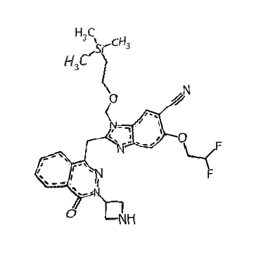 C[Si](C)(C)CCOCn1c(Cc2nn(C3CNC3)c(=O)c3ccccc23)nc2cc(OCC(F)F)c(C#N)cc21